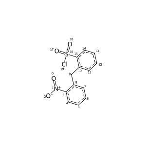 O=[N+]([O-])c1ccccc1Cc1ccccc1S(=O)(=O)Cl